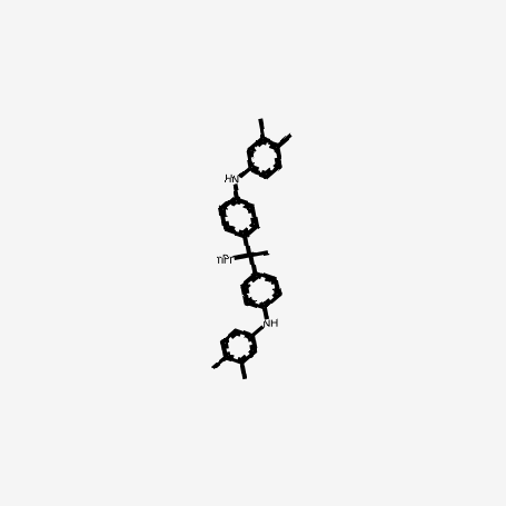 CCCC(C)(c1ccc(Nc2ccc(C)c(C)c2)cc1)c1ccc(Nc2ccc(C)c(C)c2)cc1